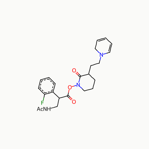 CC(=O)NCC(C(=O)ON1CCCC(CCN2C=CC=CC2)C1=O)c1ccccc1F